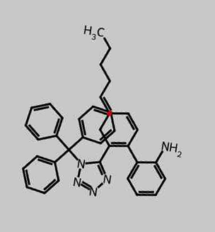 CCCCC=C1C=CC(c2ccccc2N)=C(c2nnnn2C(c2ccccc2)(c2ccccc2)c2ccccc2)C1